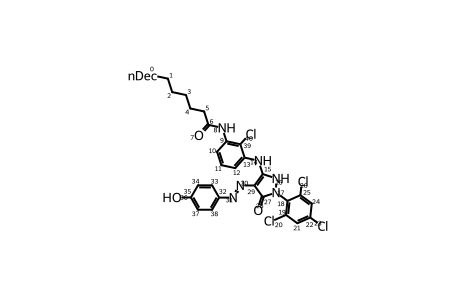 CCCCCCCCCCCCCCCC(=O)Nc1cccc(Nc2[nH]n(-c3c(Cl)cc(Cl)cc3Cl)c(=O)c2/N=N/c2ccc(O)cc2)c1Cl